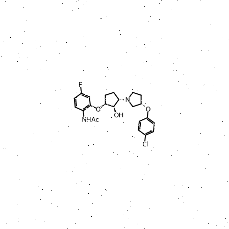 CC(=O)Nc1ccc(F)cc1O[C@H]1CC[C@H](N2CC[C@H](Oc3ccc(Cl)cc3)C2)[C@H]1O